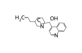 C=CCC1CN2CCC1CC2[C@H](O)c1ccnc2ccccc12